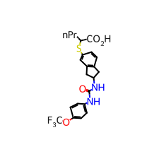 CCCC(Sc1ccc2c(c1)CC(NC(=O)Nc1ccc(OC(F)(F)F)cc1)C2)C(=O)O